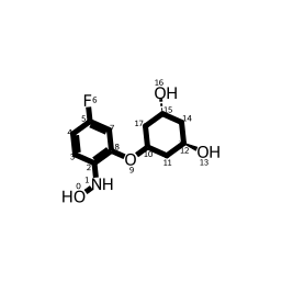 ONc1ccc(F)cc1OC1C[C@H](O)C[C@@H](O)C1